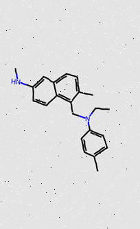 CCN(Cc1c(C)ccc2cc(NC)ccc12)c1ccc(C)cc1